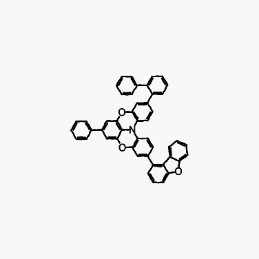 c1ccc(-c2cc3c4c(c2)Oc2cc(-c5cccc6oc7ccccc7c56)ccc2N4c2ccc(-c4ccccc4-c4ccccc4)cc2O3)cc1